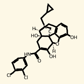 O=C(Nc1ccc(Cl)c(Cl)c1)C1=C(O)[C@@H]2Oc3c(O)ccc4c3[C@@]23CCN(CC2CC2)[C@H](C4)[C@]3(O)C1